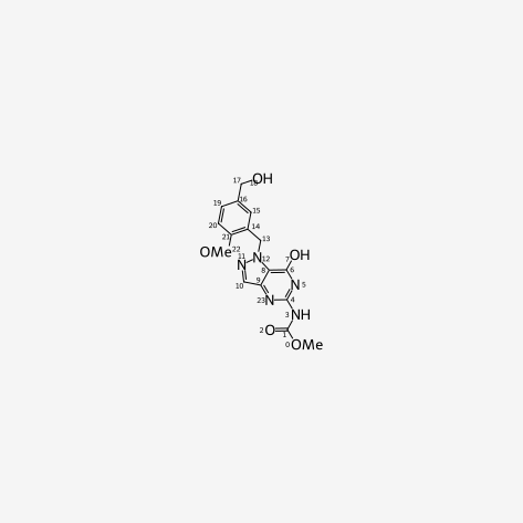 COC(=O)Nc1nc(O)c2c(cnn2Cc2cc(CO)ccc2OC)n1